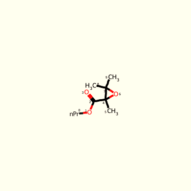 CCCOC(=O)C1(C)OC1(C)C